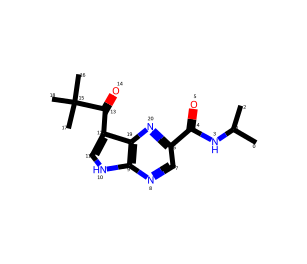 CC(C)NC(=O)c1cnc2[nH]cc(C(=O)C(C)(C)C)c2n1